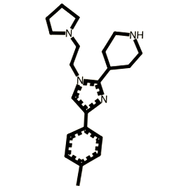 Cc1ccc(-c2cn(CCN3CCCC3)c(C3CCNCC3)n2)cc1